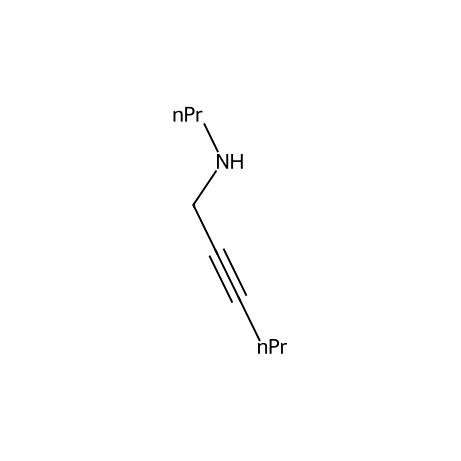 CCCC#CCNCCC